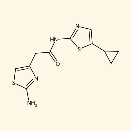 Nc1nc(CC(=O)Nc2ncc(C3CC3)s2)cs1